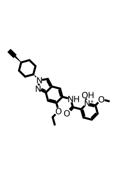 C#C[C@H]1CC[C@H](n2cc3cc(NC(=O)c4cccc(OC)[n+]4O)c(OCC)cc3n2)CC1